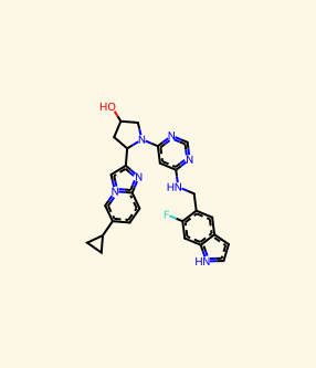 OC1CC(c2cn3cc(C4CC4)ccc3n2)N(c2cc(NCc3cc4cc[nH]c4cc3F)ncn2)C1